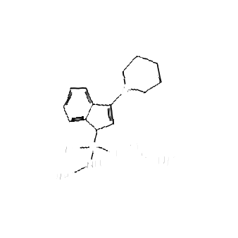 CC(C)(C)N[Si](C)(C)C1C=C(N2CCCCC2)c2ccccc21.[Cl-].[Cl-].[Hf+2]